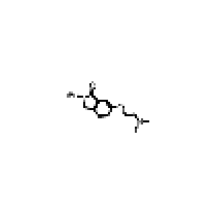 CC(C)N1Cc2ccc(OCCN(C)I)cc2C1=O